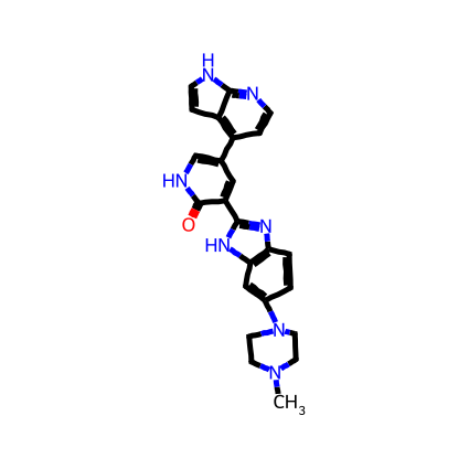 CN1CCN(c2ccc3nc(-c4cc(-c5ccnc6[nH]ccc56)c[nH]c4=O)[nH]c3c2)CC1